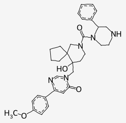 COc1ccc(-c2cc(=O)n(CC3(O)CCN(C(=O)N4CCNCC4c4ccccc4)CC34CCCC4)cn2)cc1